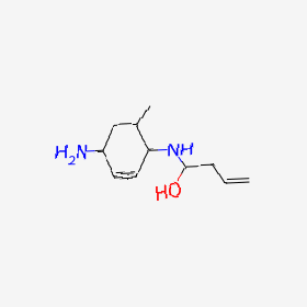 C=CCC(O)NC1C=CC(N)CC1C